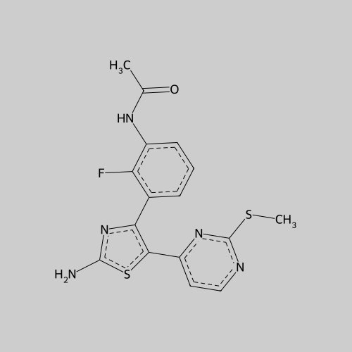 CSc1nccc(-c2sc(N)nc2-c2cccc(NC(C)=O)c2F)n1